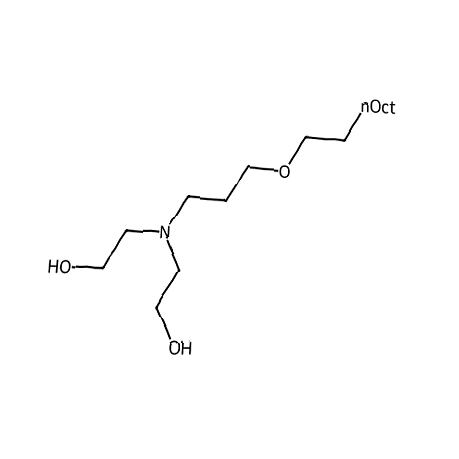 CCCCCCCCCCOCCCN(CCO)CCO